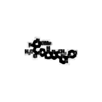 COc1cc([C@@H](C)C(=O)N2CC[C@@]3(CCc4cc(-c5ccnc(N6CCOCC6)n5)c(C)nc4N3)C2)c(F)cn1